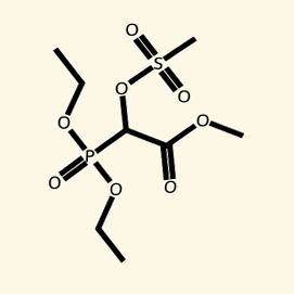 CCOP(=O)(OCC)C(OS(C)(=O)=O)C(=O)OC